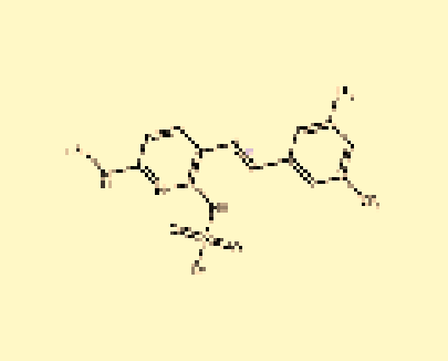 CCCNc1ccc(/N=C/c2cc(C(F)(F)F)cc(C(F)(F)F)c2)c(NS(=O)(=O)CC)n1